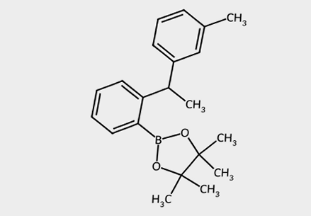 Cc1cccc(C(C)c2ccccc2B2OC(C)(C)C(C)(C)O2)c1